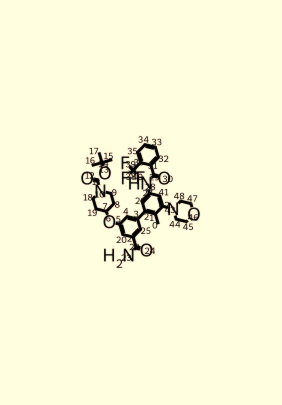 Cc1c(-c2cc(OC3CCN(C(=O)OC(C)(C)C)CC3)cc(C(N)=O)c2)cc(NC(=O)c2ccccc2C(F)(F)F)cc1N1CCOCC1